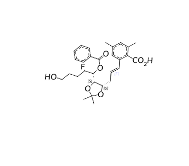 Cc1cc(C)c(C(=O)O)c(/C=C/C[C@@H]2OC(C)(C)O[C@@H]2C(OC(=O)c2ccccc2)C(F)CCCO)c1